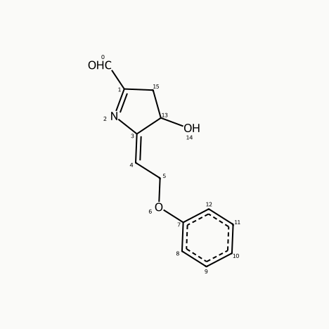 O=CC1=NC(=CCOc2ccccc2)C(O)C1